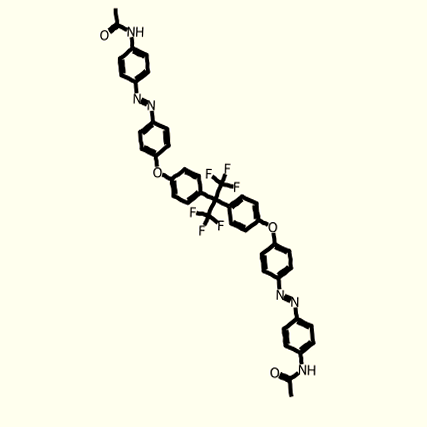 CC(=O)Nc1ccc(/N=N/c2ccc(Oc3ccc(C(c4ccc(Oc5ccc(/N=N/c6ccc(NC(C)=O)cc6)cc5)cc4)(C(F)(F)F)C(F)(F)F)cc3)cc2)cc1